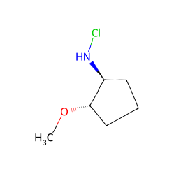 CO[C@H]1CCC[C@@H]1NCl